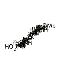 COC(=O)NC(C(=O)N1CCC[C@H]1c1nc2ncc(-c3ccc4cc(-c5cnc6nc([C@@H]7CCCN7C(=O)C(NC(=O)O)C(C)C)[nH]c6c5)ccc4c3)cc2[nH]1)C(C)C